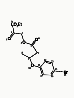 CCOC(=O)C(=O)COC(=O)CC(C)Oc1ccc(Br)cc1